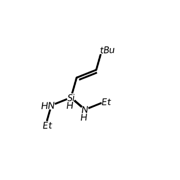 CCN[SiH](C=CC(C)(C)C)NCC